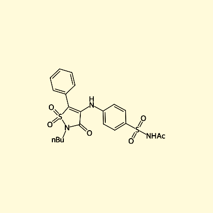 CCCCN1C(=O)C(Nc2ccc(S(=O)(=O)NC(C)=O)cc2)=C(c2ccccc2)S1(=O)=O